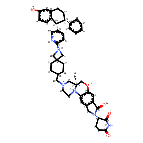 O=C1CC[C@H](N2Cc3cc4c(cc3C2=O)OC[C@@H]2CN(CC3CCC5(CC3)CN(c3ccc([C@@H]6c7ccc(O)cc7CC[C@@H]6c6ccccc6)cn3)C5)CCN42)C(=O)N1